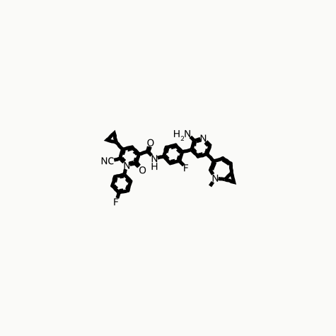 CN1C=C(c2cnc(N)c(-c3ccc(NC(=O)c4cc(C5CC5)c(C#N)n(-c5ccc(F)cc5)c4=O)cc3F)c2)C=CC2CC21